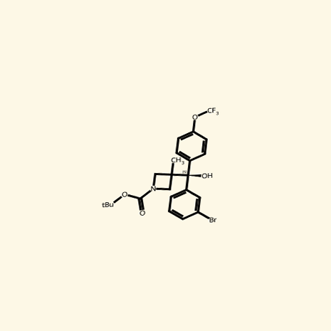 CC(C)(C)OC(=O)N1CC(C)([C@](O)(c2ccc(OC(F)(F)F)cc2)c2cccc(Br)c2)C1